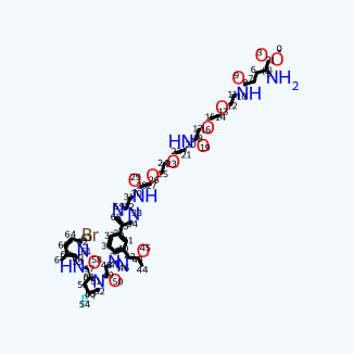 COC(=O)[C@@H](N)CCC(=O)NCCOCCOCC(=O)NCCOCCOCC(=O)NCc1ncc(-c2ccc3c(c2)c(C(C)=O)nn3CC(=O)N2C[C@H](F)C[C@H]2C(=O)Nc2nc(Br)ccc2C)cn1